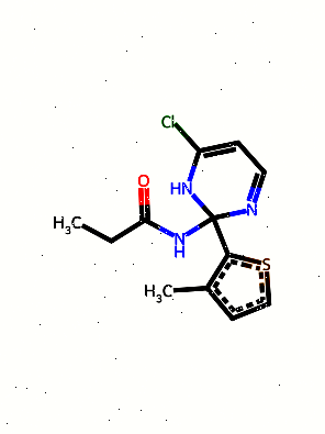 CCC(=O)NC1(c2sccc2C)N=CC=C(Cl)N1